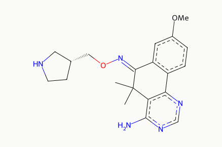 COc1ccc2c(c1)/C(=N/OC[C@@H]1CCNC1)C(C)(C)c1c(N)ncnc1-2